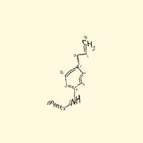 C=CCc1ccc(NCCCCC)cc1